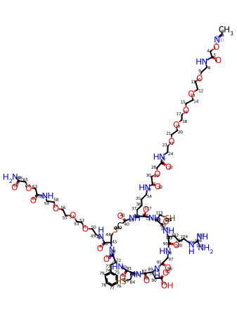 C/C=N/OCC(=O)NCCOCCOCCOCCOCCOCCNC(=O)COCC(=O)NCCCC[C@@H]1NC(=O)CSCC(C(=O)NCCOCCOCCOCCNC(=O)COCC(N)=O)NC(=O)[C@H](Cc2ccccc2)NC(=O)[C@H](CS)NC(=O)[C@H](CC(=O)O)NC(=O)CNC(=O)[C@H](CCCNC(=N)N)NC(=O)[C@H](CS)NC1=O